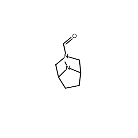 CN1C2CCC1CN(C=O)C2